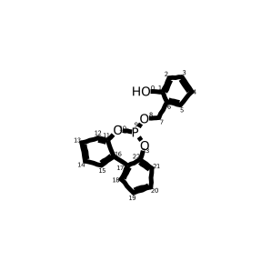 Oc1ccccc1COp1oc2ccccc2c2ccccc2o1